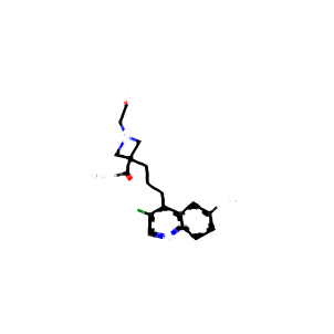 COC(=O)C1(CCCc2c(F)cnc3ccc(OC)cc23)CN(CCO)C1